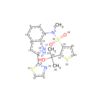 CN(c1cccc2cc(-c3nccs3)[nH]c12)S(=O)(=O)c1ccsc1C(C)(C)O